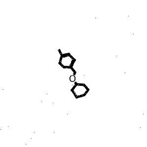 CC1=CC=C(COC2CCCCC2)CC1